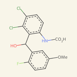 COc1ccc(F)c(C(O)c2c(NC(=O)O)ccc(Cl)c2Cl)c1